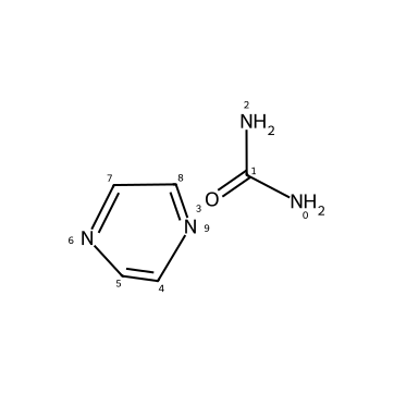 NC(N)=O.c1cnccn1